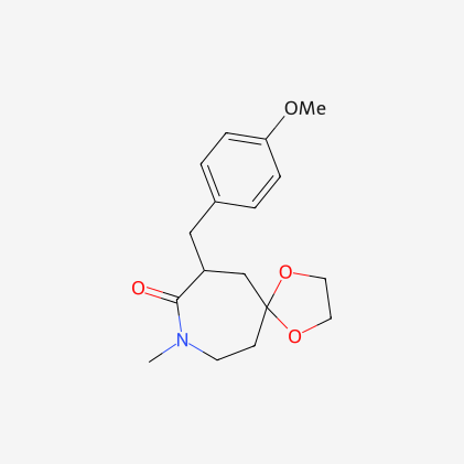 COc1ccc(CC2CC3(CCN(C)C2=O)OCCO3)cc1